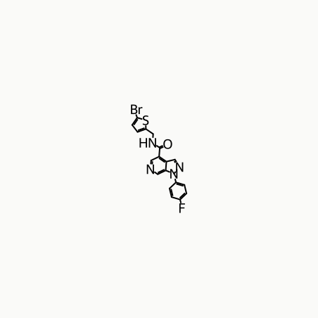 O=C(NCc1ccc(Br)s1)c1cncc2c1cnn2-c1ccc(F)cc1